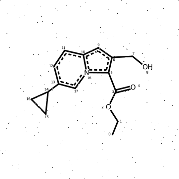 CCOC(=O)c1c(CO)cc2ccc(C3CC3)cn12